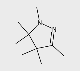 CC1=NN(C)C(C)(C)C1(C)C